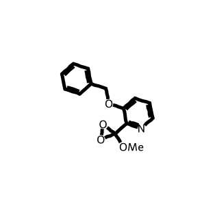 COC1(c2ncccc2OCc2ccccc2)OO1